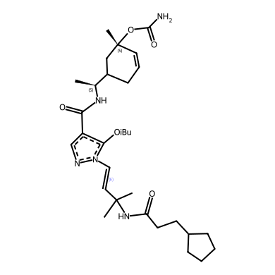 CC(C)COc1c(C(=O)N[C@@H](C)C2CC=C[C@@](C)(OC(N)=O)C2)cnn1/C=C/C(C)(C)NC(=O)CCC1CCCC1